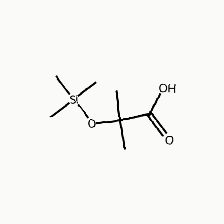 CC(C)(O[Si](C)(C)C)C(=O)O